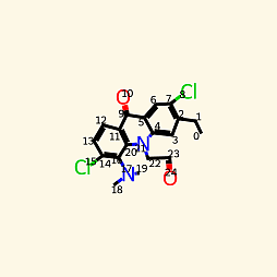 CCc1cc2c(cc1Cl)c(=O)c1ccc(Cl)c(N(C)C)c1n2CC=O